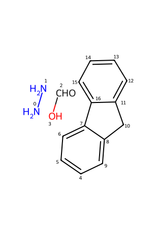 NN.O=CO.c1ccc2c(c1)Cc1ccccc1-2